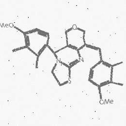 COc1ccc(/C=C2/COCC3=C2N=C2SCCN2C3c2ccc(OC)c(C)c2C)c(C)c1C